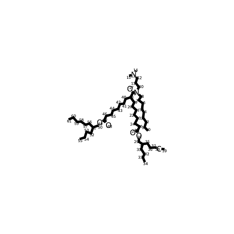 CCCCCCCCCN(CCCN(C)C)C(=O)C(CCCCCCCC(=O)OCC(CCCC)CCCCC)CCCCCCCC(=O)OCC(CCCC)CCCCCC